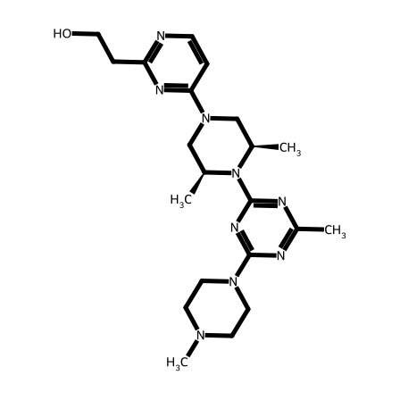 Cc1nc(N2CCN(C)CC2)nc(N2[C@H](C)CN(c3ccnc(CCO)n3)C[C@@H]2C)n1